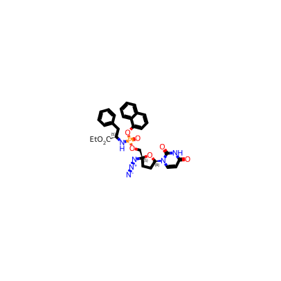 CCOC(=O)[C@H](Cc1ccccc1)NP(=O)(OC[C@]1(N=[N+]=[N-])CC[C@H](n2ccc(=O)[nH]c2=O)O1)Oc1cccc2ccccc12